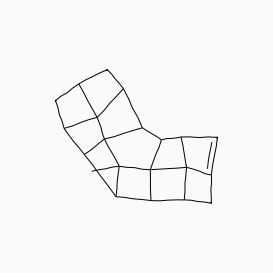 CC12C3C4C5CC6=CC7C(C8C9CC%10CC%11C3C81C%10%119)C42C675